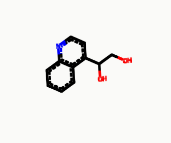 OCC(O)c1ccnc2ccccc12